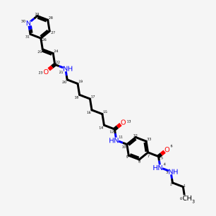 CCCNNC(=O)c1ccc(NC(=O)CCCCCCCNC(=O)C=Cc2cccnc2)cc1